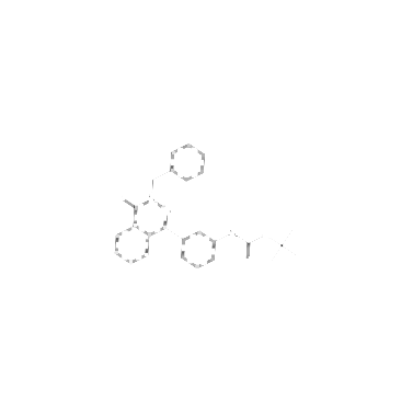 CC(C)(C)OC(=O)Nc1cccc(-c2nn(Cc3ccccc3)c(=O)c3ccccc23)c1